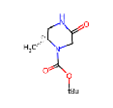 C[C@@H]1CNC(=O)CN1C(=O)OC(C)(C)C